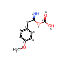 COc1ccc(CC(=N)OC(=O)O)cc1